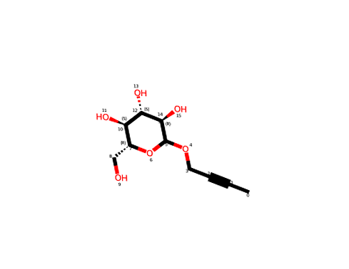 CC#CCOC1O[C@H](CO)[C@@H](O)[C@H](O)[C@H]1O